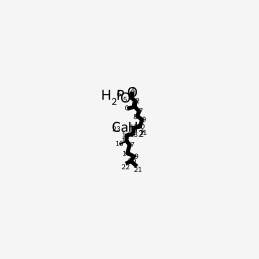 C/C(=C\C(=O)OP)CCC[C@H](C)CCC[C@H](C)CCCC(C)C.[CaH2]